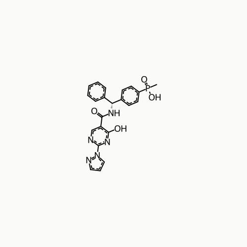 CP(=O)(O)c1ccc([C@H](NC(=O)c2cnc(-n3cccn3)nc2O)c2ccccc2)cc1